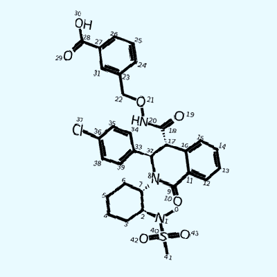 CN([C@H]1CCCC[C@@H]1N1C(=O)c2ccccc2[C@@H](C(=O)NOCc2cccc(C(=O)O)c2)[C@@H]1c1ccc(Cl)cc1)S(C)(=O)=O